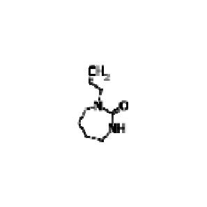 C=CCN1CCCCNC1=O